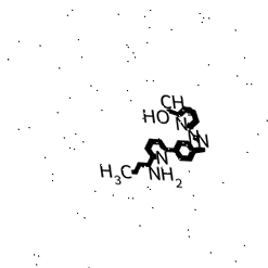 CCC[C@H](N)c1cccc(-c2ccc3cnn(-c4cccc(C(C)O)n4)c3c2)n1